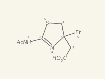 CCC1(CC(=O)O)CSC(NC(C)=O)=N1